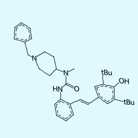 CN(C(=O)Nc1ccccc1C=Cc1cc(C(C)(C)C)c(O)c(C(C)(C)C)c1)C1CCN(Cc2ccccc2)CC1